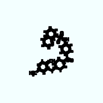 Cc1ccc(C)c(CN2CCN(C(=O)c3ccc(NS(=O)(=O)c4cccc5cccnc45)cc3)CC2)c1